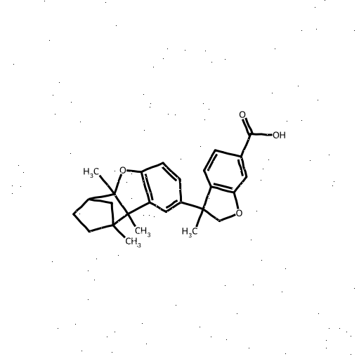 CC1(c2ccc3c(c2)C2(C)C4(C)CCC(C4)C2(C)O3)COc2cc(C(=O)O)ccc21